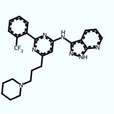 FC(F)(F)c1ccccc1-c1nc(CCCN2CCCCC2)cc(Nc2n[nH]c3ncccc23)n1